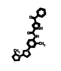 Cc1cc(N2CCC(N3CCCC3C)C2)ccc1NC(=O)c1cc(C(=O)c2ccccc2)c[nH]1